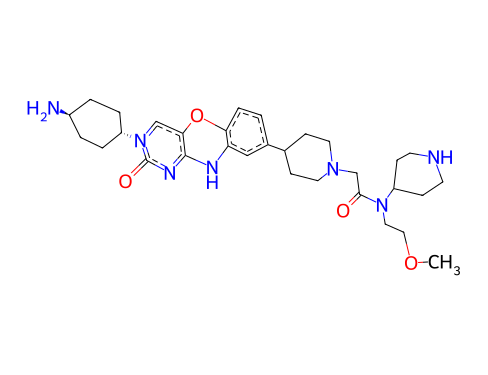 COCCN(C(=O)CN1CCC(c2ccc3c(c2)Nc2nc(=O)n([C@H]4CC[C@H](N)CC4)cc2O3)CC1)C1CCNCC1